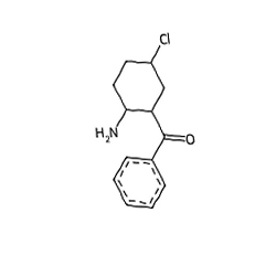 NC1CCC(Cl)CC1C(=O)c1ccccc1